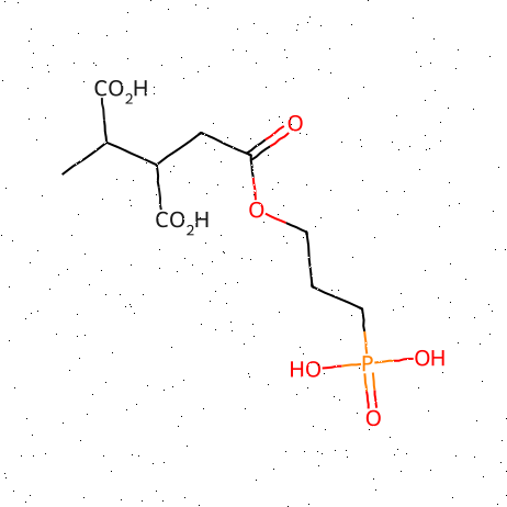 CC(C(=O)O)C(CC(=O)OCCCP(=O)(O)O)C(=O)O